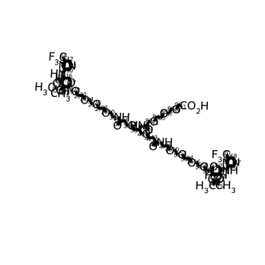 CC1(C)O[C@@H]2[C@H](O1)[C@@H](Nc1cncc(C(F)(F)F)n1)CO[C@@H]2COCCOCCOCCOCCNC(=O)CCOCC(COCCC(=O)NCCOCCOCCOCCOC[C@H]1OC[C@H](Nc2cncc(C(F)(F)F)n2)[C@H]2OC(C)(C)O[C@H]21)NC(=O)COCCOCCOCC(=O)O